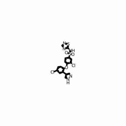 O=S(=O)(Nc1ncns1)c1ccc(Oc2ccc(Cl)cc2-c2cn[nH]c2)c(Cl)c1